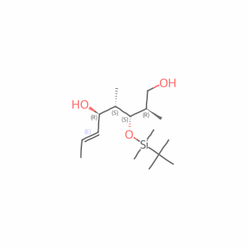 C/C=C/[C@@H](O)[C@H](C)[C@@H](O[Si](C)(C)C(C)(C)C)[C@H](C)CO